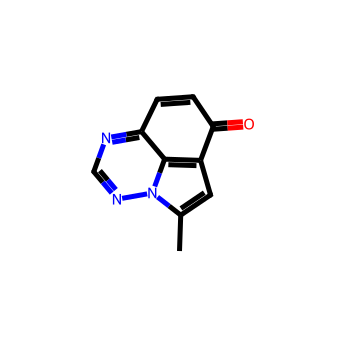 Cc1cc2c(=O)ccc3ncnn1c32